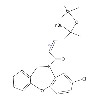 CCCCC(C)(C/C=C\C(=O)N1Cc2ccccc2Oc2ccc(Cl)cc21)O[Si](C)(C)C